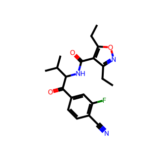 CCc1noc(CC)c1C(=O)NC(C(=O)c1ccc(C#N)c(F)c1)C(C)C